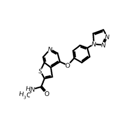 CNC(=O)c1cc2c(Oc3ccc(-n4ccnn4)cc3)cncc2s1